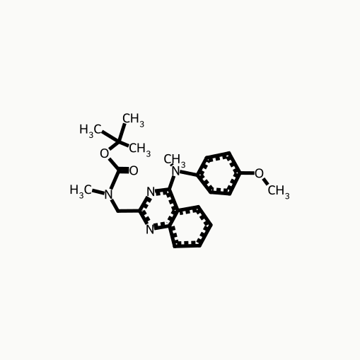 COc1ccc(N(C)c2nc(CN(C)C(=O)OC(C)(C)C)nc3ccccc23)cc1